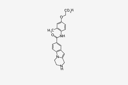 Cc1cc(OCC(=O)O)ccc1NC(=O)c1ccc2c(c1)cc1n2CCNC1